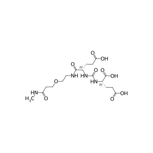 CNC(=O)CCOCCNC(=O)[C@H](CCC(=O)O)NC(=O)N[C@@H](CCC(=O)O)C(=O)O